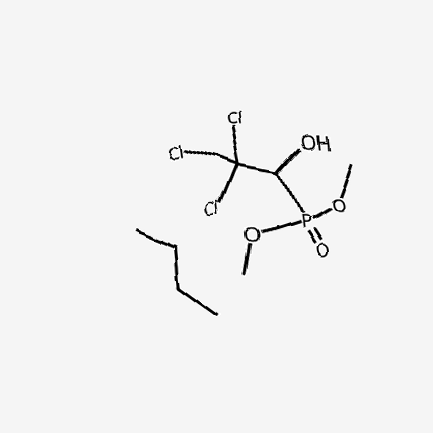 CCCC.COP(=O)(OC)C(O)C(Cl)(Cl)Cl